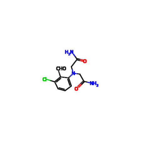 NC(=O)CN(CC(N)=O)c1cccc(Cl)c1C=O